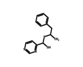 CC(Cc1ccccc1)SC(O)c1ccncn1